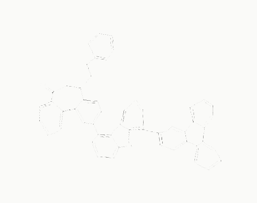 O=C1CC(CCc2ccccc2)c2ccc(-c3cccc4oc5c(-c6ccc7c8ccccc8c8ccccc8c7c6)cccc5c34)cc2-c2ccccc21